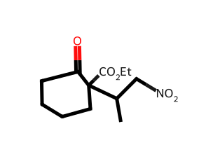 CCOC(=O)C1(C(C)C[N+](=O)[O-])CCCCC1=O